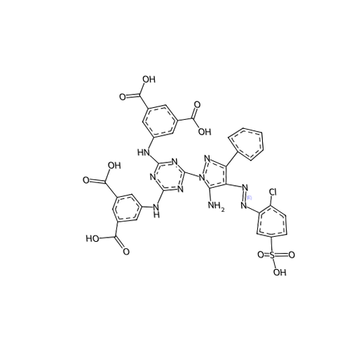 Nc1c(/N=N/c2cc(S(=O)(=O)O)ccc2Cl)c(-c2ccccc2)nn1-c1nc(Nc2cc(C(=O)O)cc(C(=O)O)c2)nc(Nc2cc(C(=O)O)cc(C(=O)O)c2)n1